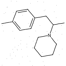 Cc1ccc(CC(C)N2C[CH]CCC2)cc1